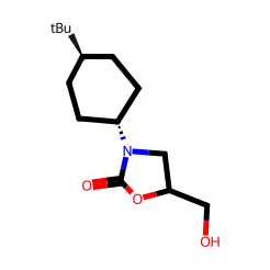 CC(C)(C)[C@H]1CC[C@H](N2CC(CO)OC2=O)CC1